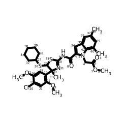 COC(=O)Cn1c(C(=O)NC2=NC(C)(c3cc(OC)c(Cl)cc3OC)C(SC3CCCCC3)S2)cc2cc(C)cc(C)c21